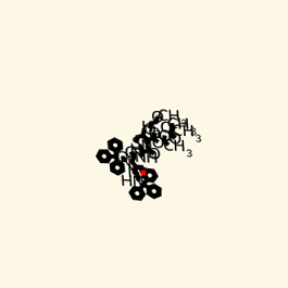 COCCOCC1=C(C(=O)OC(C)OC(=O)C(C)(C)C)N2C(=O)C(NC(=O)/C(=N\OC(c3ccccc3)(c3ccccc3)c3ccccc3)c3csc(NC(c4ccccc4)(c4ccccc4)c4ccccc4)n3)[C@@H]2SC1